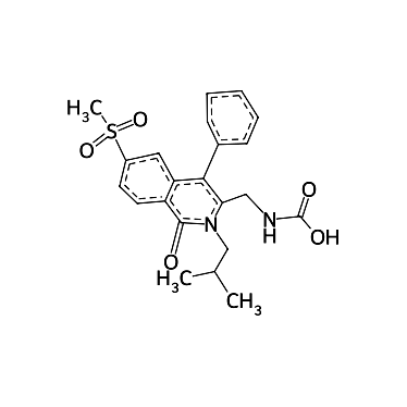 CC(C)Cn1c(CNC(=O)O)c(-c2ccccc2)c2cc(S(C)(=O)=O)ccc2c1=O